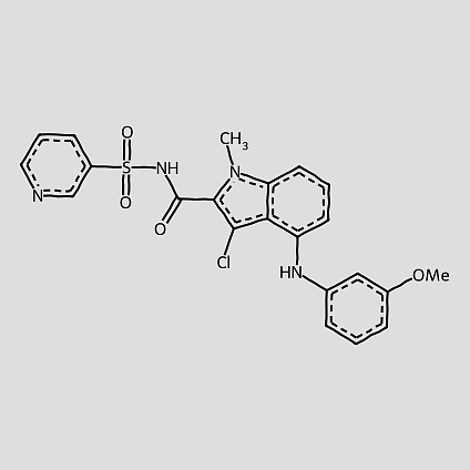 COc1cccc(Nc2cccc3c2c(Cl)c(C(=O)NS(=O)(=O)c2cccnc2)n3C)c1